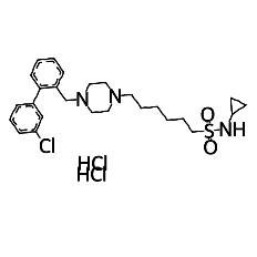 Cl.Cl.O=S(=O)(CCCCCCN1CCN(Cc2ccccc2-c2cccc(Cl)c2)CC1)NC1CC1